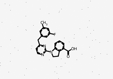 Cc1cc(F)cc(Cc2ccnc(N3CCc4c(C(=O)O)cccc43)n2)c1